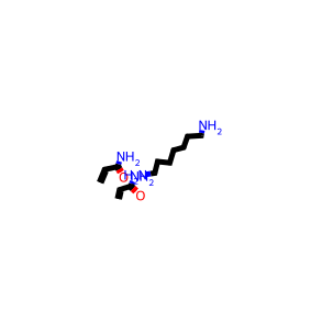 C=CC(N)=O.C=CC(N)=O.NCCCCCCCN